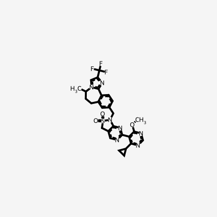 COc1ncnc(C2CC2)c1-c1ncc2c(n1)N(Cc1ccc3c(c1)CCC(C)n1cc(C(F)(F)F)nc1-3)S(=O)(=O)C2